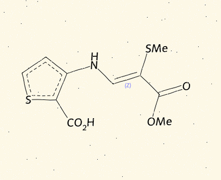 COC(=O)/C(=C/Nc1ccsc1C(=O)O)SC